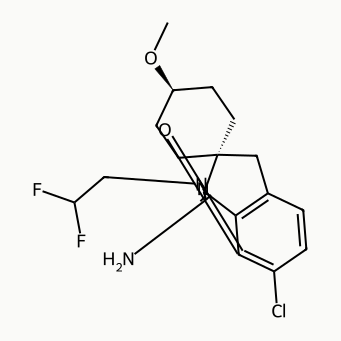 CO[C@H]1CC[C@]2(CC1)Cc1ccc(Cl)cc1C21N=C(N)N(CC(F)F)C1=O